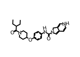 CCC(CC)C(=O)N1CCC(Oc2ccc(NC(=O)N3C=C4C=CNC=C4C3)cc2)CC1